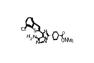 COC(=O)[C@H]1CC[C@H](c2nc(-c3cc4cccc(Cl)c4s3)c3c(N)ncnn32)CC1